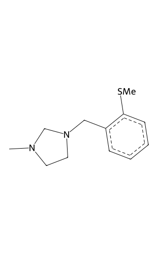 CSc1ccccc1CN1CCN(C)C1